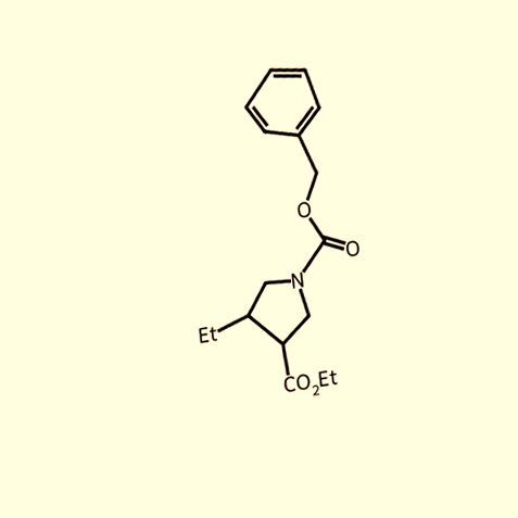 CCOC(=O)C1CN(C(=O)OCc2ccccc2)CC1CC